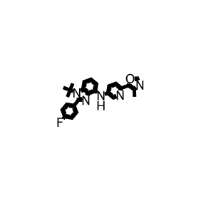 Cc1ncoc1-c1ccc(Nc2cccc3c2nc(-c2ccc(F)cc2)n3C(C)(C)C)cn1